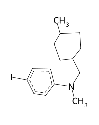 CC1CCC(CN(C)c2ccc(I)cc2)CC1